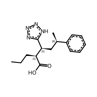 CCC[C@H](C(=O)O)[C@H](C[C@@H](C)c1ccccc1)c1nnn[nH]1